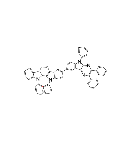 C1=CC2c3ccccc3N(c3ccccc3)C2c2c1c1cc(-c3ccc4c(c3)c3nc(-c5ccccc5)c(-c5ccccc5)nc3n4-c3ccccc3)ccc1n2-c1ccccc1